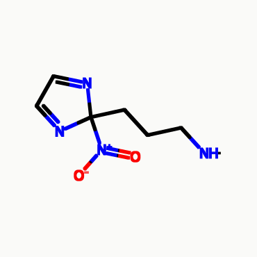 [NH]CCCC1([N+](=O)[O-])N=CC=N1